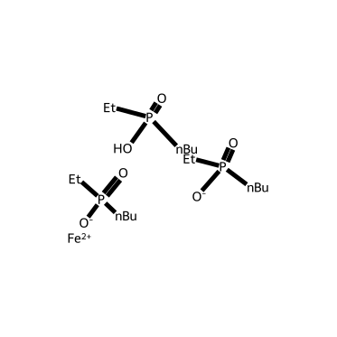 CCCCP(=O)(O)CC.CCCCP(=O)([O-])CC.CCCCP(=O)([O-])CC.[Fe+2]